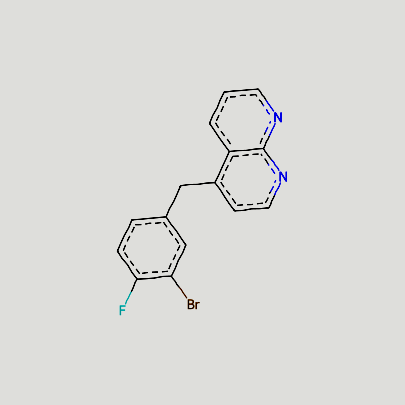 Fc1ccc(Cc2ccnc3ncccc23)cc1Br